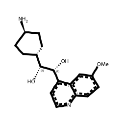 COc1ccc2nccc([C@@H](O)[C@H](O)[C@H]3CC[C@H](N)CC3)c2c1